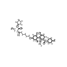 CC(C)C[C@@H](NCCCCCOc1cc(F)c(-n2c(N)c(C(=O)c3ccc(F)cc3)ccc2=O)c(F)c1)C(=O)OC1CCCC1